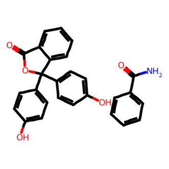 NC(=O)c1ccccc1.O=C1OC(c2ccc(O)cc2)(c2ccc(O)cc2)c2ccccc21